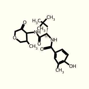 Cc1cc(C(=O)N[C@@H](CC(C)(C)C)C(=O)NC2C(=O)COCC2C)ccc1O